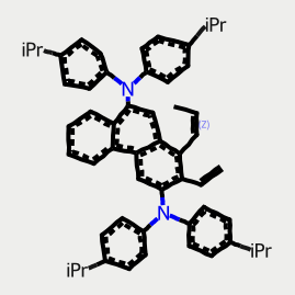 C=Cc1c(N(c2ccc(C(C)C)cc2)c2ccc(C(C)C)cc2)cc2c(cc(N(c3ccc(C(C)C)cc3)c3ccc(C(C)C)cc3)c3ccccc32)c1/C=C\C